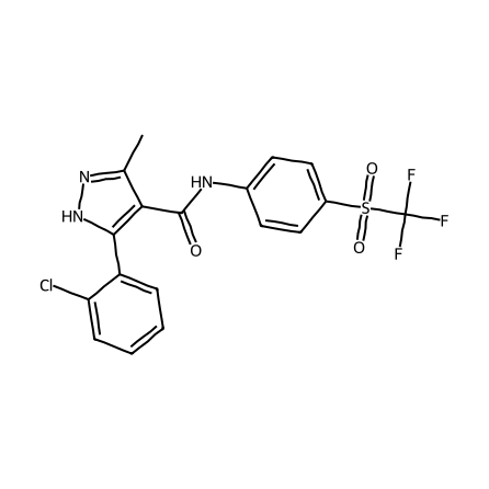 Cc1n[nH]c(-c2ccccc2Cl)c1C(=O)Nc1ccc(S(=O)(=O)C(F)(F)F)cc1